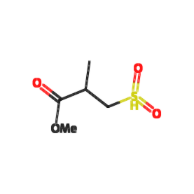 COC(=O)C(C)C[SH](=O)=O